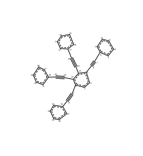 C(#Cc1[c]cc(C#Cc2ccccc2)c(C#Cc2ccccc2)c1C#Cc1ccccc1)c1ccccc1